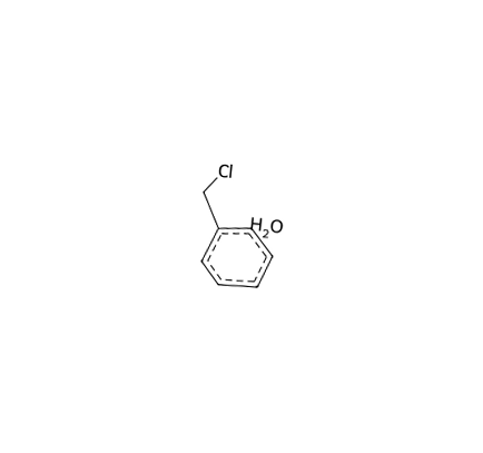 ClCc1ccccc1.O